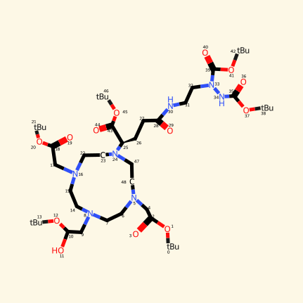 CC(C)(C)OC(=O)CN1CCN(CC(O)OC(C)(C)C)CCN(CC(=O)OC(C)(C)C)CCN([C@H](CCC(=O)NCCN(NC(=O)OC(C)(C)C)C(=O)OC(C)(C)C)C(=O)OC(C)(C)C)CC1